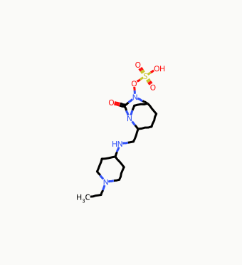 CCN1CCC(NCC2CCC3CN2C(=O)N3OS(=O)(=O)O)CC1